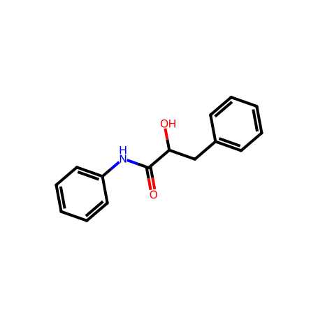 O=C(Nc1ccccc1)C(O)Cc1ccccc1